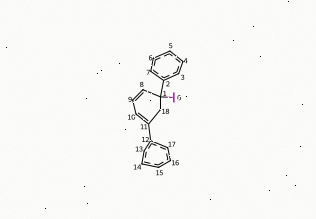 IC1(c2ccccc2)C=CC=C(c2ccccc2)C1